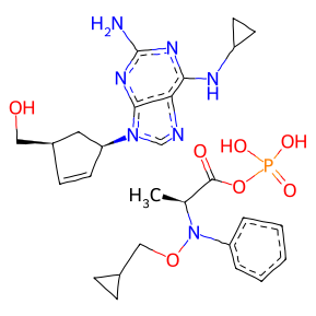 C[C@@H](C(=O)OP(=O)(O)O)N(OCC1CC1)c1ccccc1.Nc1nc(NC2CC2)c2ncn([C@H]3C=C[C@@H](CO)C3)c2n1